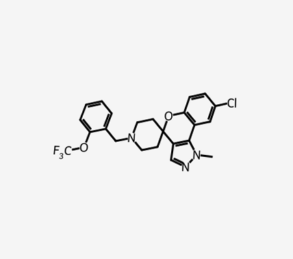 Cn1ncc2c1-c1cc(Cl)ccc1OC21CCN(Cc2ccccc2OC(F)(F)F)CC1